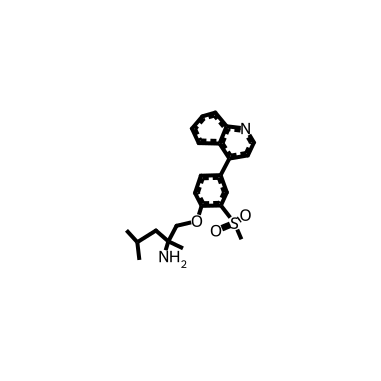 CC(C)CC(C)(N)COc1ccc(-c2ccnc3ccccc23)cc1S(C)(=O)=O